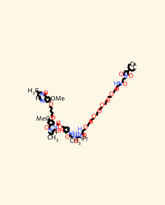 COc1cc2c(cc1OCCCCCOc1cc3c(cc1OC)C(=O)N1C=C(C)C[C@H]1[C@H](O)N3C(=O)OCc1ccc(NC(=O)[C@H](C)NC(=O)[C@@H](NC(=O)CCOCCOCCOCCOCCOCCOCCOCCOCCNC(=O)CCN3C(=O)CC(C4CCCCCCC4)C3=O)C(C)C)cc1)N=C[C@@H]1CC(C)=CN1C2=O